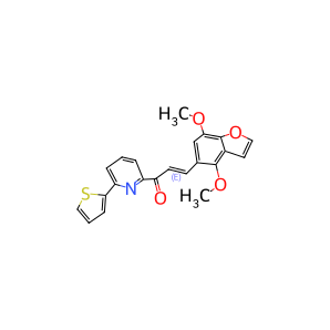 COc1c(/C=C/C(=O)c2cccc(-c3cccs3)n2)cc(OC)c2occc12